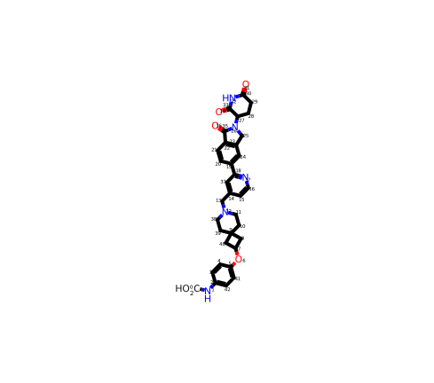 O=C(O)Nc1ccc(OC2CC3(CCN(Cc4ccnc(-c5ccc6c(c5)CN(C5CCC(=O)NC5=O)C6=O)c4)CC3)C2)cc1